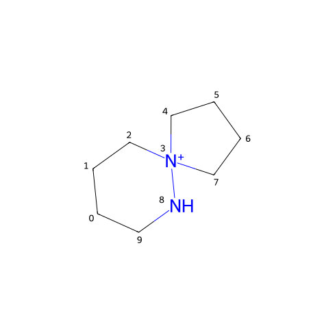 C1CC[N+]2(CCCC2)NC1